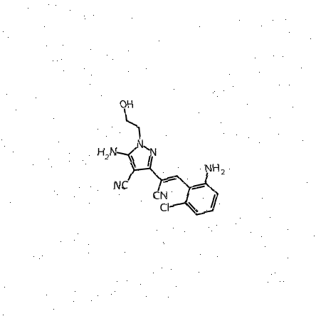 N#CC(=Cc1c(N)cccc1Cl)c1nn(CCO)c(N)c1C#N